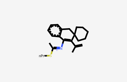 C=C(C)C1=C(/N=C(\C)SCCC)c2ccccc2CC12CCCCC2